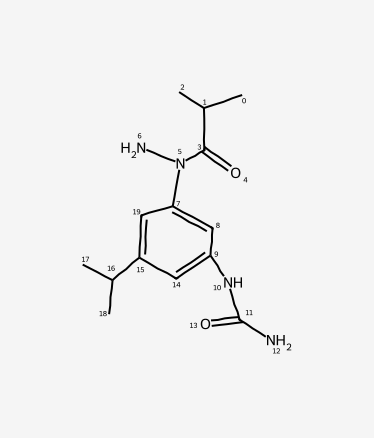 CC(C)C(=O)N(N)c1cc(NC(N)=O)cc(C(C)C)c1